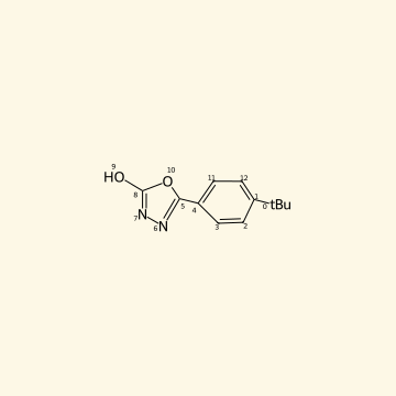 CC(C)(C)c1ccc(-c2nnc(O)o2)cc1